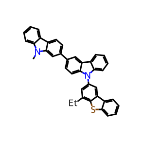 CCc1cc(-n2c3ccccc3c3cc(-c4ccc5c6ccccc6n(C)c5c4)ccc32)cc2c1sc1ccccc12